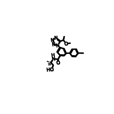 COC(C)c1nnnn1-c1cc(C(=O)N[C@@H](C)CO)cc(-c2ccc(C)cc2)c1